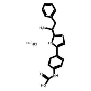 Cl.Cl.NC(Cc1ccccc1)c1ncc(-c2ccc(NC(=O)O)cc2)[nH]1